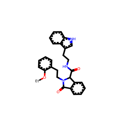 CCOc1ccccc1CCN1C(=O)c2ccccc2C1C(=O)NCCc1c[nH]c2ccccc12